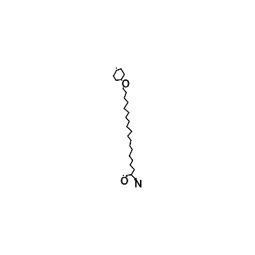 N#CC([C]=O)CCCCCCCCCCCCCCCCCCOC1CC[CH]CC1